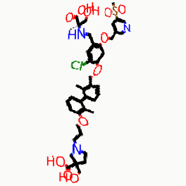 Cc1c(COc2cc(OCc3cncc(S(C)(=O)=O)c3)c(CN[C@](C)(CO)C(=O)O)cc2Cl)cccc1-c1cccc(OCCCN2CCC(CO)(C(=O)O)C2)c1C